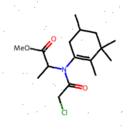 COC(=O)C(C)N(C(=O)CCl)C1=C(C)C(C)(C)CC(C)C1